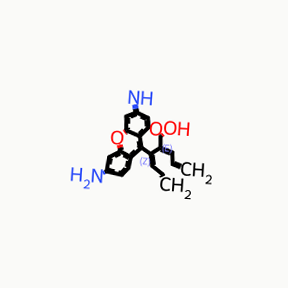 C=C/C=C(\C(=C/C=C)C(=O)O)c1c2ccc(=N)cc-2oc2cc(N)ccc12